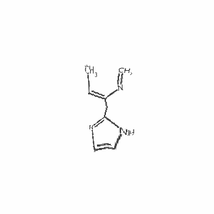 C=N/C(=C\C)c1ncc[nH]1